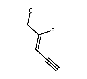 C#C/C=C(\F)CCl